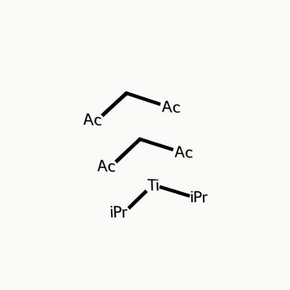 CC(=O)CC(C)=O.CC(=O)CC(C)=O.C[CH](C)[Ti][CH](C)C